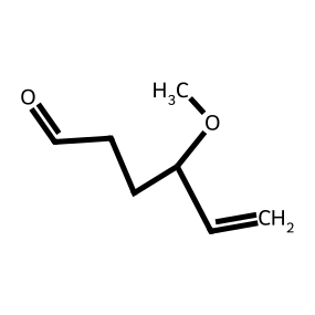 C=CC(CCC=O)OC